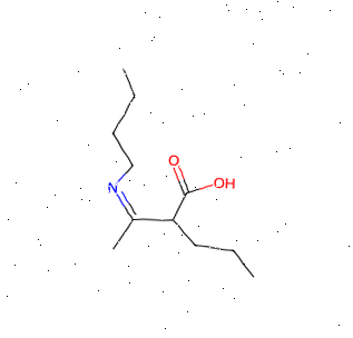 CCCCN=C(C)C(CCC)C(=O)O